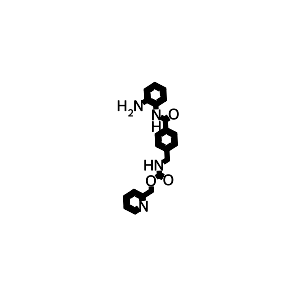 Nc1ccccc1NC(=O)c1ccc(CNC(=O)OCc2ccccn2)cc1